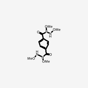 CONN(OC)C(=O)c1ccc(C(=O)N(NOC)OC)cc1